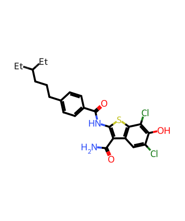 CCC(CC)CCCc1ccc(C(=O)Nc2sc3c(Cl)c(O)c(Cl)cc3c2C(N)=O)cc1